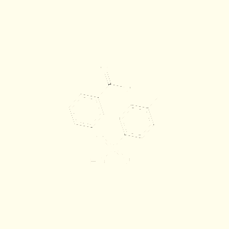 Cc1ccc(S(=O)(=O)O)cc1.O=C(O)c1ccccc1